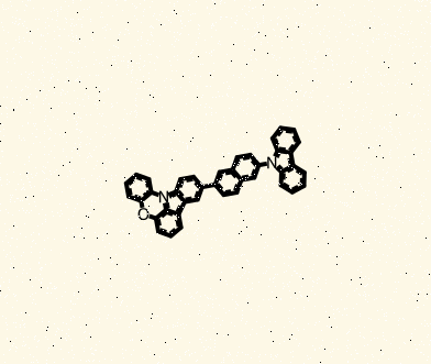 c1ccc2c(c1)Oc1cccc3c4cc(-c5ccc6cc(-n7c8ccccc8c8ccccc87)ccc6c5)ccc4n-2c13